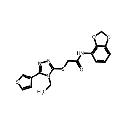 CCn1c(SCC(=O)Nc2cccc3c2OCO3)nnc1-c1ccsc1